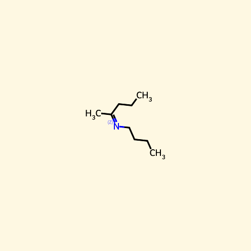 CCCC/N=C(/C)CCC